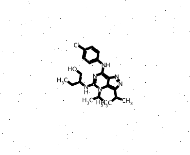 CCC(CO)Nc1nc(Nc2ccc(Cl)cc2)c2nnc(C(C)C)c-2n1C(C)C